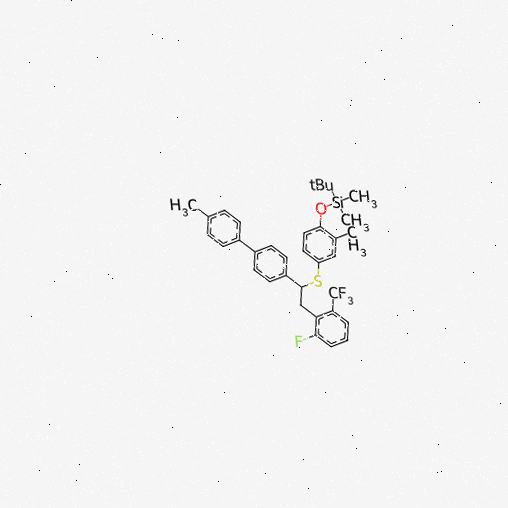 Cc1ccc(-c2ccc(C(Cc3c(F)cccc3C(F)(F)F)Sc3ccc(O[Si](C)(C)C(C)(C)C)c(C)c3)cc2)cc1